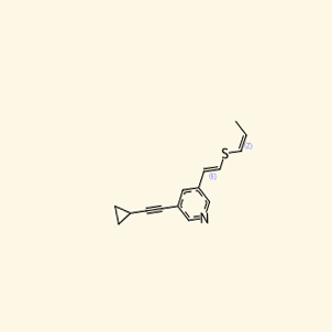 C/C=C\S/C=C/c1cncc(C#CC2CC2)c1